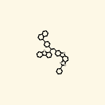 C(=C(\c1ccc(-c2cccc3ccccc23)cc1)c1cccc2c1oc1ccccc12)/c1ccc2c(c1)oc1ccc3oc(-c4ccccc4)nc3c12